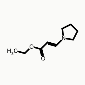 CCOC(=O)/C=C/N1CCCC1